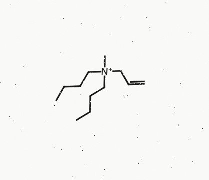 C=CC[N+](C)(CCCC)CCCC